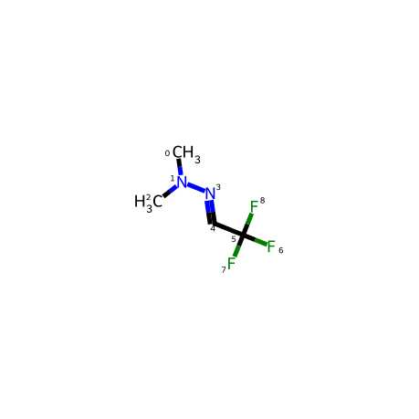 CN(C)N=CC(F)(F)F